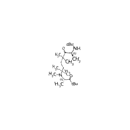 C[C@H](NC(C)(C)C)C(=O)C(C)(C)CCC(C)(C)N(C)[C@@H](C)C(=O)C(C)(C)C